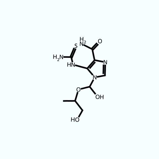 CC(CO)OC(O)n1cnc(C(N)=O)c1NC(N)=S